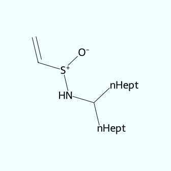 C=C[S+]([O-])NC(CCCCCCC)CCCCCCC